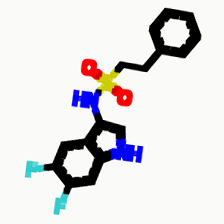 O=S(=O)(CCc1ccccc1)Nc1c[nH]c2cc(F)c(F)cc12